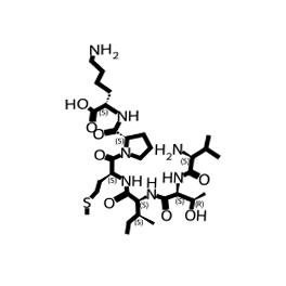 CC[C@H](C)[C@H](NC(=O)[C@@H](NC(=O)[C@@H](N)C(C)C)[C@@H](C)O)C(=O)N[C@@H](CCSC)C(=O)N1CCC[C@H]1C(=O)N[C@@H](CCCCN)C(=O)O